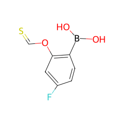 OB(O)c1ccc(F)cc1OC=S